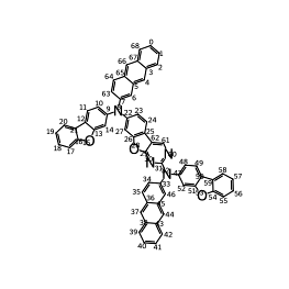 c1ccc2cc3cc(N(c4ccc5c(c4)oc4ccccc45)c4ccc5c(c4)oc4nc(N(c6ccc7cc8ccccc8cc7c6)c6ccc7c(c6)oc6ccccc67)ncc45)ccc3cc2c1